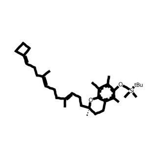 C/C(=C\CC/C(C)=C/CC[C@]1(C)CCc2c(C)c(O[Si](C)(C)C(C)(C)C)c(C)c(C)c2O1)CCC=C1CCC1